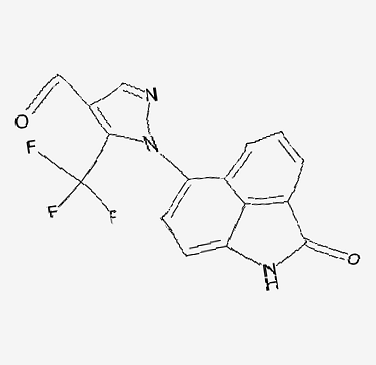 O=Cc1cnn(-c2ccc3c4c(cccc24)C(=O)N3)c1C(F)(F)F